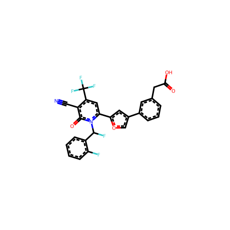 N#Cc1c(C(F)(F)F)cc(-c2cc(-c3cccc(CC(=O)O)c3)co2)n(C(F)c2ccccc2F)c1=O